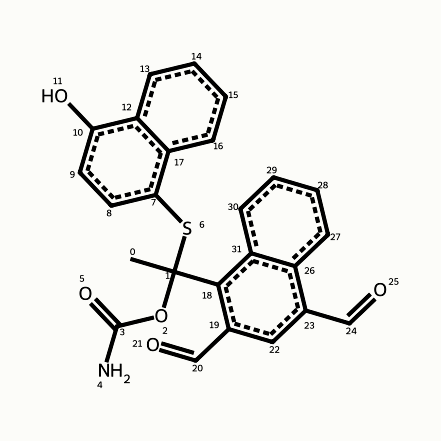 CC(OC(N)=O)(Sc1ccc(O)c2ccccc12)c1c(C=O)cc(C=O)c2ccccc12